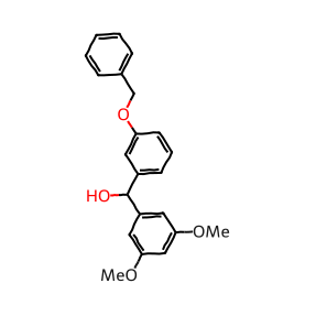 COc1cc(OC)cc(C(O)c2cccc(OCc3ccccc3)c2)c1